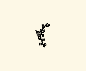 C=CC(=O)NCCNc1cccc(NC(=O)c2cnc(NCCc3ccncc3)nc2NCCC)c1